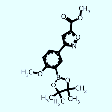 COC(=O)c1cc(-c2ccc(OC)c(B3OC(C)(C)C(C)(C)O3)c2)no1